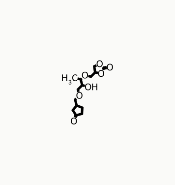 CC(OCC1COC(=O)O1)C(O)COCC1CCC(=O)C1